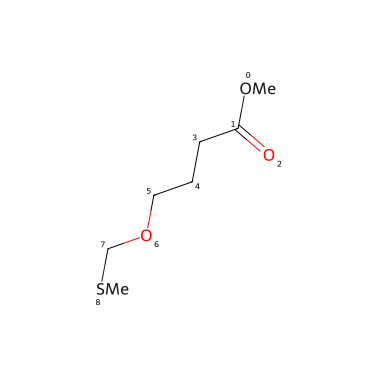 COC(=O)CCCOCSC